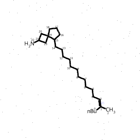 CCCC/C(C)=C\CCCCCCCCCCCC1CCCC12CC(N)C2